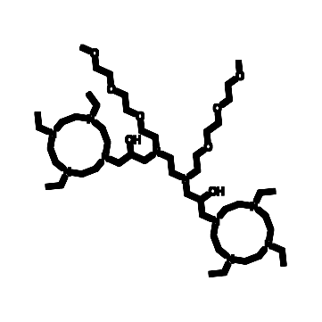 CCN1CCN(CC)CCN(CC(O)CN(CCOCCOCCOC)CCN(CCOCCOCCOC)CC(O)CN2CCN(CC)CCN(CC)CCN(CC)CC2)CCN(CC)CC1